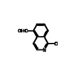 O=Cc1cccc2c(Cl)nccc12